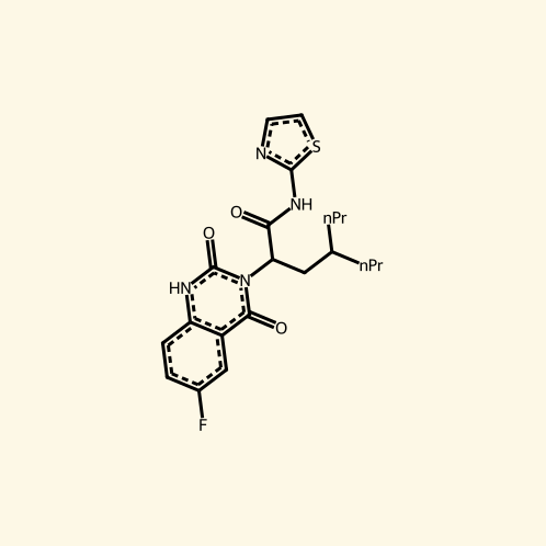 CCCC(CCC)CC(C(=O)Nc1nccs1)n1c(=O)[nH]c2ccc(F)cc2c1=O